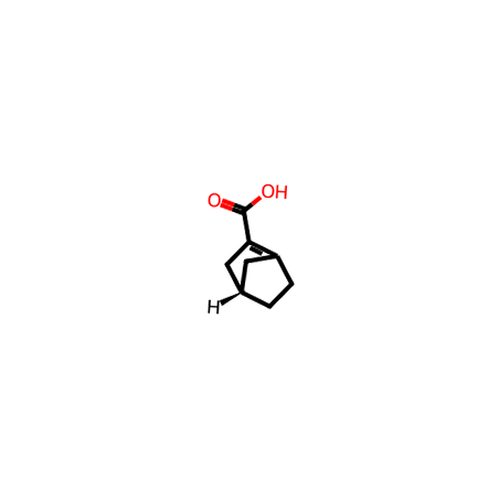 O=C(O)C1=C2CC[C@@H](C2)C1